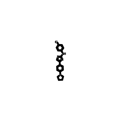 Clc1ccc(Nc2nc(-c3ccc(N4CCCC4)cc3)cs2)cc1